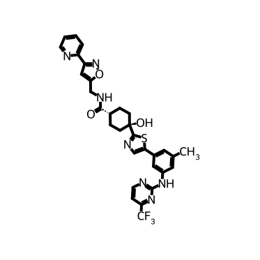 Cc1cc(Nc2nccc(C(F)(F)F)n2)cc(-c2cnc([C@]3(O)CC[C@H](C(=O)NCc4cc(-c5ccccn5)no4)CC3)s2)c1